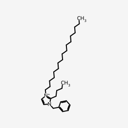 CCCCCCCCCCCCCCCCC[n+]1ccn(Cc2ccccc2)c1CCCC